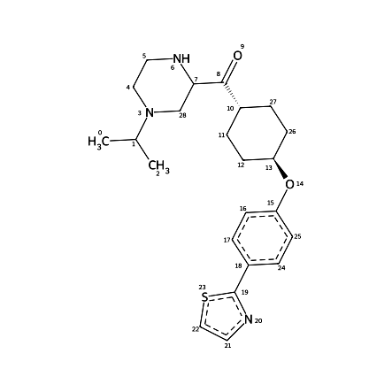 CC(C)N1CCNC(C(=O)[C@H]2CC[C@H](Oc3ccc(-c4nccs4)cc3)CC2)C1